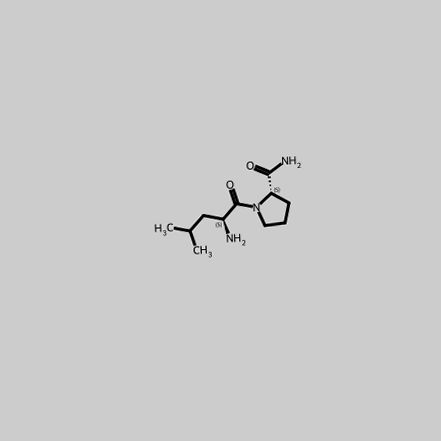 CC(C)C[C@H](N)C(=O)N1CCC[C@H]1C(N)=O